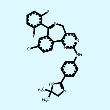 CC1(C)CN=C(c2ccc(Nc3ncc4c(n3)-c3ccc(Cl)cc3C(c3c(F)cccc3F)=NC4)cc2)N1